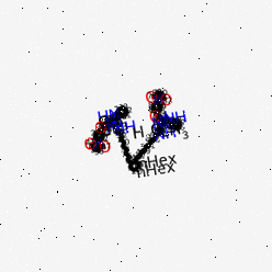 CCCCCCC1CCC(CCCCCCCCCNc2nc(Nc3ccccc3)nc(C(C)(CC)Oc3ccc(N4C(=O)C=CC4=O)cc3)n2)C(CCCCCCCCCNC(C)(C)c2nc(Nc3ccccc3)nc(Oc3ccc(N4C(=O)C=CC4=O)cc3)n2)C1CCCCCC